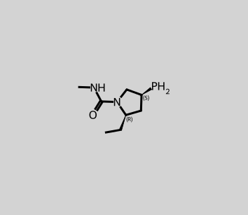 CC[C@@H]1C[C@H](P)CN1C(=O)NC